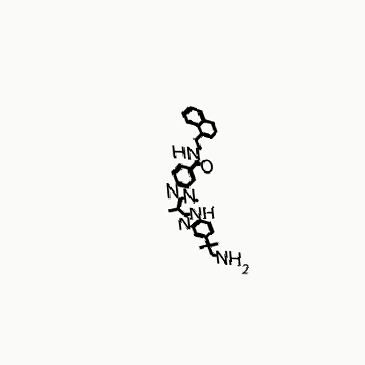 CC(c1nc2cc(C(C)(C)CN)ccc2[nH]1)c1nc2ccc(C(=O)NCCc3cccc4ccccc34)cc2n1C